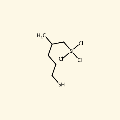 CC(CCCS)C[Si](Cl)(Cl)Cl